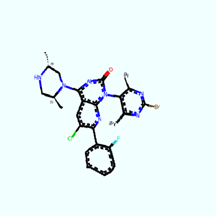 CC(C)c1nc(Br)nc(C(C)C)c1-n1c(=O)nc(N2C[C@@H](C)NC[C@@H]2C)c2cc(Cl)c(-c3ccccc3F)nc21